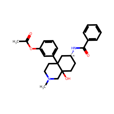 CC(=O)Oc1cccc(C23CCN(C)CC2(O)CC[C@@H](NC(=O)c2ccccc2)C3)c1